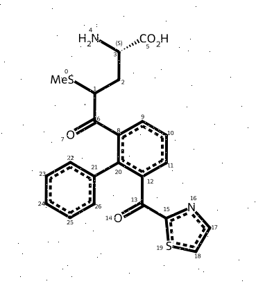 CSC(C[C@H](N)C(=O)O)C(=O)c1cccc(C(=O)c2nccs2)c1-c1ccccc1